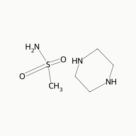 C1CNCCN1.CS(N)(=O)=O